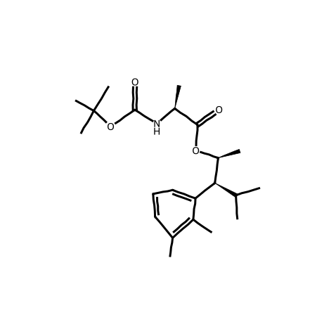 Cc1cccc([C@H](C(C)C)[C@H](C)OC(=O)[C@H](C)NC(=O)OC(C)(C)C)c1C